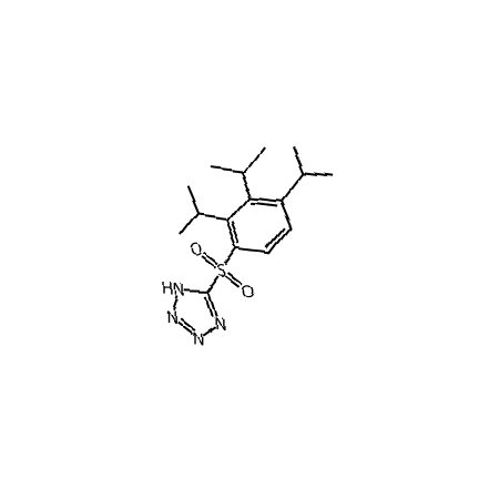 CC(C)c1ccc(S(=O)(=O)c2nnn[nH]2)c(C(C)C)c1C(C)C